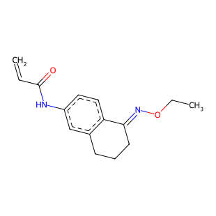 C=CC(=O)Nc1ccc2c(c1)CCCC2=NOCC